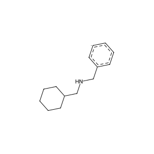 [c]1cccc(CNCC2CCCCC2)c1